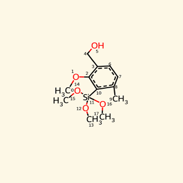 COc1c(CO)ccc(C)c1[Si](OC)(OC)OC